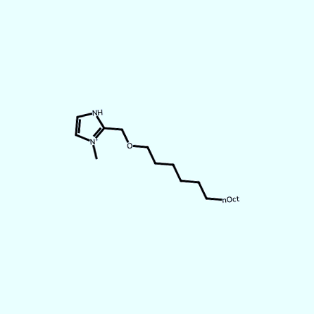 CCCCCCCCCCCCCCOCc1[nH]cc[n+]1C